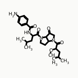 COC(CC(C)C)C(=O)N1CC(=O)C2C1CCN2C(=O)C(CC(C)C)NC(=O)c1ccc(N)cc1